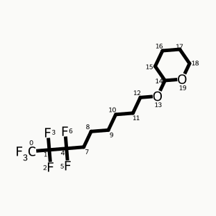 FC(F)(F)C(F)(F)C(F)(F)CCCCCCOC1CCCCO1